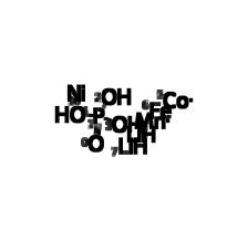 O=P(O)(O)O.[Co].[Fe].[LiH].[LiH].[Mn].[Ni]